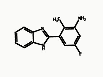 Cc1c(N)cc(F)cc1-c1nc2ccccc2[nH]1